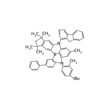 Cc1cc2c3c(c1)N(c1cccc4c1Cc1ccccc1-4)c1cc4c(cc1B3c1cc(-c3ccccc3)ccc1N2c1ccc(C(C)(C)C)cc1C)C(C)(C)CC4(C)C